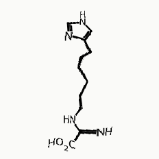 N=C(NCCCCCc1c[nH]cn1)C(=O)O